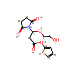 O=C(CC(OCCO)N1C(=O)CCC1=O)Oc1cccs1